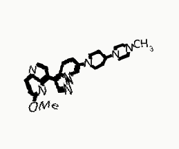 COc1ccc2nccc(-c3cnn4cc(N5CCC(N6CCN(C)CC6)CC5)ccc34)c2n1